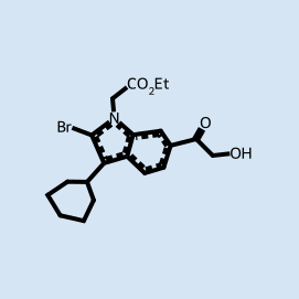 CCOC(=O)Cn1c(Br)c(C2CCCCC2)c2ccc(C(=O)CO)cc21